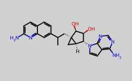 CC(C[C@@]12C[C@@H]1[C@@H](n1ccc3c(N)ncnc31)[C@H](O)[C@@H]2O)c1ccc2ccc(N)nc2c1